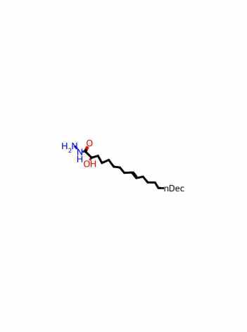 CCCCCCCCCCCCCCC=CCCCCCCC(O)C(=O)NN